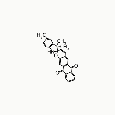 Cc1ccc2c(c1)C(C)(C)C1(C=Cc3cc4c(cc3O1)C(=O)c1ccccc1C4=O)N2